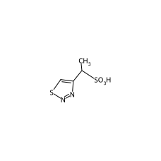 CC(c1csnn1)S(=O)(=O)O